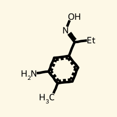 CCC(=NO)c1ccc(C)c(N)c1